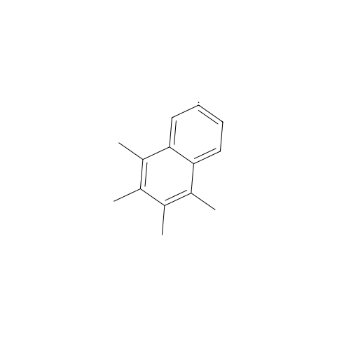 Cc1c(C)c(C)c2cc[c]cc2c1C